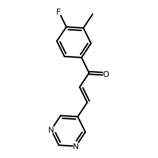 Cc1cc(C(=O)/C=C/c2cncnc2)ccc1F